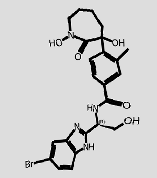 Cc1cc(C(=O)N[C@@H](CO)c2nc3cc(Br)ccc3[nH]2)ccc1C1(O)CCCCN(O)C1=O